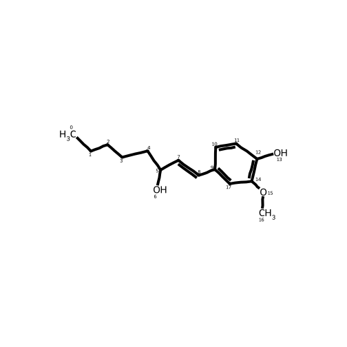 CCCCCC(O)C=Cc1ccc(O)c(OC)c1